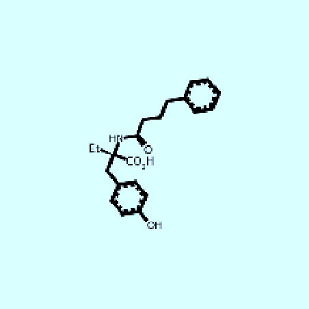 CC[C@@](Cc1ccc(O)cc1)(NC(=O)CCCc1ccccc1)C(=O)O